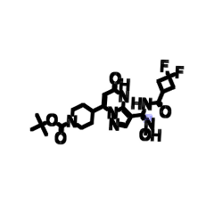 CC(C)(C)OC(=O)N1CCC(c2cc(=O)[nH]c3c(/C(=N\O)NC(=O)C4CC(F)(F)C4)cnn23)CC1